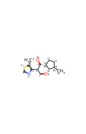 Cc1scnc1C(C=O)C(=O)[C@@H]1CC[C@@H](C)C1